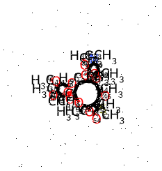 CC[C@H]1OC(=O)[C@H](C)[C@@H](O[C@H]2C[C@@](C)(OC)[C@@H](OC)[C@H](C)O2)[C@H](C)[C@@H](O[C@@H]2O[C@H](C)C[C@H](N(C)C)[C@H]2OC)[C@](C)(OC)C[C@@H](C)C(=O)C(C)[C@H]2C(SC)C(=O)O[C@@]21C